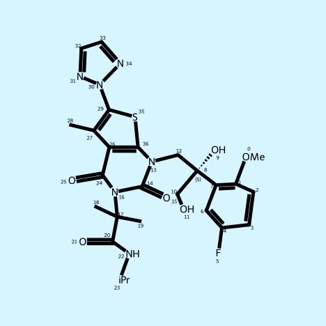 COc1ccc(F)cc1[C@@](O)(CO)Cn1c(=O)n(C(C)(C)C(=O)NC(C)C)c(=O)c2c(C)c(-n3nccn3)sc21